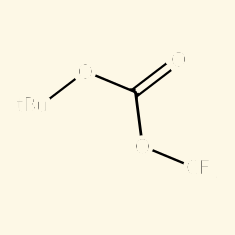 CC(C)(C)OC(=O)OC(F)(F)F